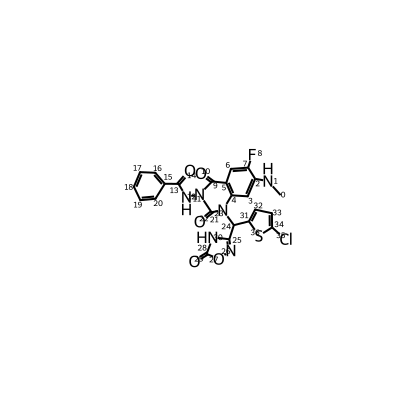 CNc1cc2c(cc1F)c(=O)n(NC(=O)c1ccccc1)c(=O)n2C(c1noc(=O)[nH]1)c1ccc(Cl)s1